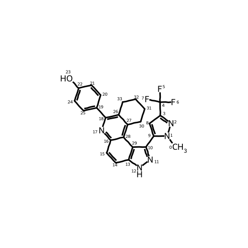 Cn1nc(C(F)(F)F)cc1-c1n[nH]c2ccc3nc(-c4ccc(O)cc4)c4c(c3c12)CCCC4